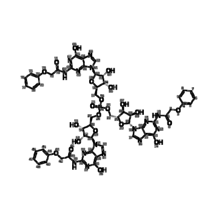 O=C(COc1ccccc1)Nc1nc(O)c2ncn([C@@H]3O[C@H](COP(=O)(OC[C@H]4O[C@@H](n5cnc6c(O)nc(NC(=O)COc7ccccc7)nc65)[C@H](O)[C@@H]4O)OC[C@H]4O[C@@H](n5cnc6c(O)nc(NC(=O)COc7ccccc7)nc65)[C@H](O)[C@@H]4O)[C@@H](O)[C@H]3O)c2n1